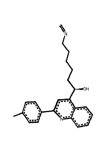 C=NCCCCC[C@@H](O)c1cc(-c2ccc(C)cc2)nc2ccccc12